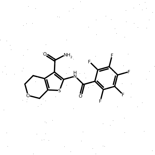 NC(=O)c1c(NC(=O)c2c(F)c(F)c(F)c(F)c2F)sc2c1CCOC2